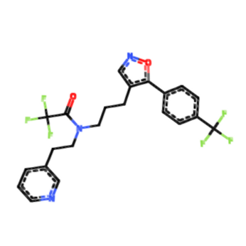 O=C(N(CCCc1cnoc1-c1ccc(C(F)(F)F)cc1)CCc1cccnc1)C(F)(F)F